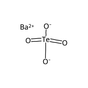 O=[Te](=O)([O-])[O-].[Ba+2]